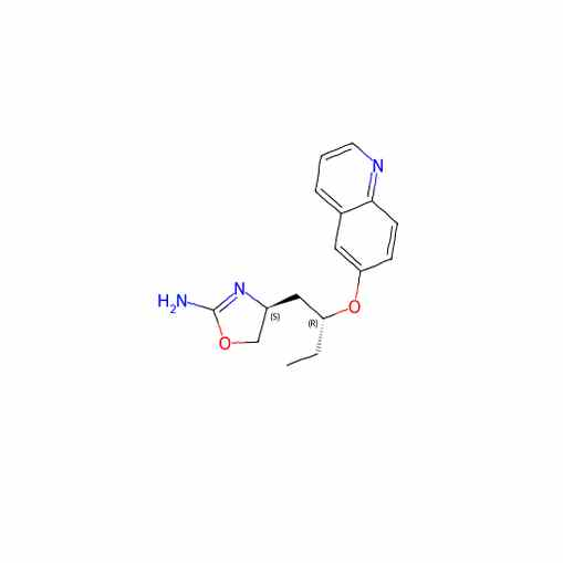 CC[C@H](C[C@H]1COC(N)=N1)Oc1ccc2ncccc2c1